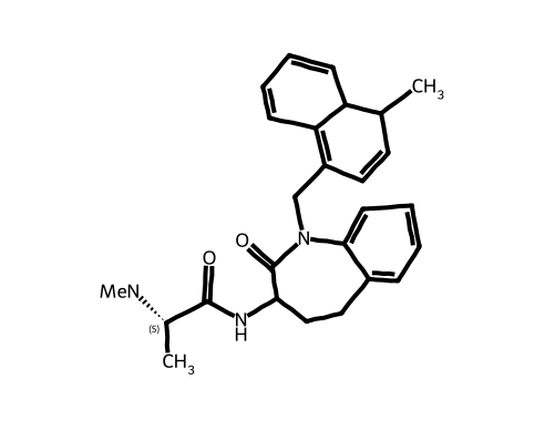 CN[C@@H](C)C(=O)NC1CCc2ccccc2N(CC2=C3C=CC=CC3C(C)C=C2)C1=O